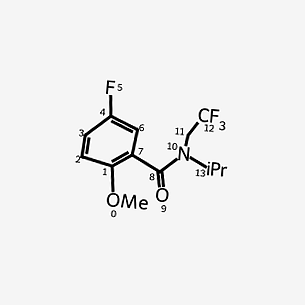 COc1ccc(F)cc1C(=O)N(CC(F)(F)F)C(C)C